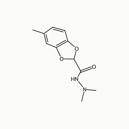 Cc1ccc2c(c1)OC(C(=O)NN(C)C)O2